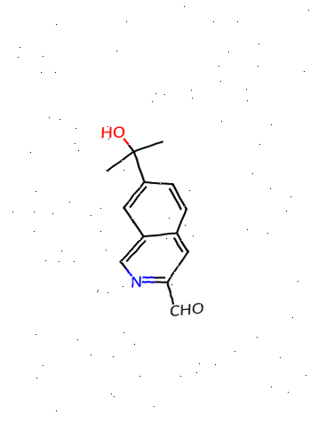 CC(C)(O)c1ccc2cc(C=O)ncc2c1